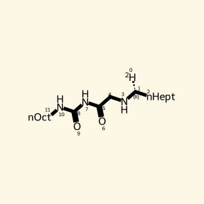 [2H][C@H](CCCCCCC)NCC(=O)NC(=O)NCCCCCCCC